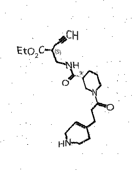 C#C[C@@H](CNC(=O)[C@@H]1CCCN(C(=O)CCC2=CCNCC2)C1)C(=O)OCC